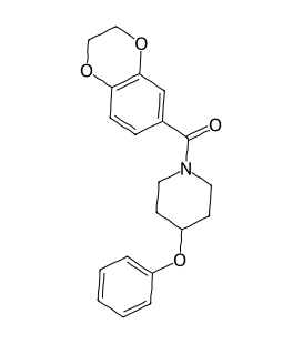 O=C(c1ccc2c(c1)OCCO2)N1CCC(Oc2ccccc2)CC1